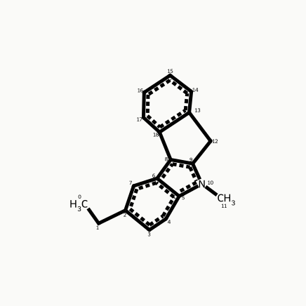 CCc1ccc2c(c1)c1c(n2C)Cc2ccccc2-1